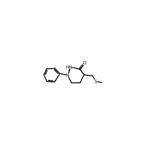 CSCC1CCN(c2ccccc2)NC1=O